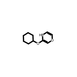 B1C=COC=C1OC1CCCCC1